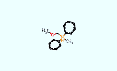 COC[PH](C)(c1ccccc1)c1ccccc1